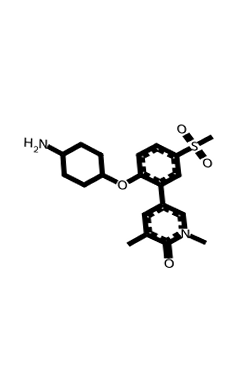 Cc1cc(-c2cc(S(C)(=O)=O)ccc2OC2CCC(N)CC2)cn(C)c1=O